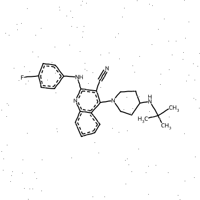 CC(C)(C)NC1CCN(c2c(C#N)c(Nc3ccc(F)cc3)nc3ccccc23)CC1